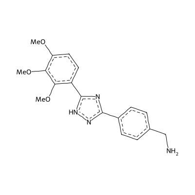 COc1ccc(-c2nc(-c3ccc(CN)cc3)n[nH]2)c(OC)c1OC